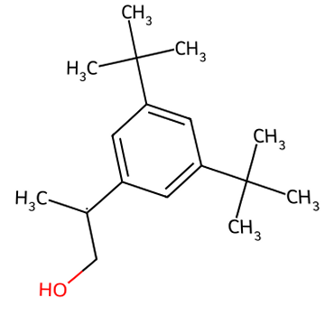 C[C](CO)c1cc(C(C)(C)C)cc(C(C)(C)C)c1